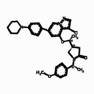 COc1ccc([C@@H](C)N2C[C@H]([C@@H](C)Oc3cc(-c4ccc(N5CCCCC5)cc4)cn4ncc(Cl)c34)CC2=O)cc1